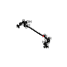 Cc1ncsc1-c1ccc(CNC(=O)[C@@H]2C[C@@H](O)CN2C(=O)[C@H](NC(=O)CCCCCCCCCCCCCCCCCCCNC(=O)CCC(=O)Nc2cc(C(=O)Nc3cccc(-c4nncn4C(C)C)n3)c(F)cc2F)C(C)(C)C)cc1